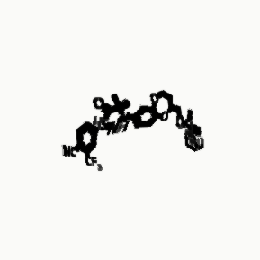 CC1(C)C(=O)[SH](c2ccc(C#N)c(C(F)(F)F)c2)NN1c1ccc2c(c1)OCCC(CO[Si](C)(C)C(C)(C)C)O2